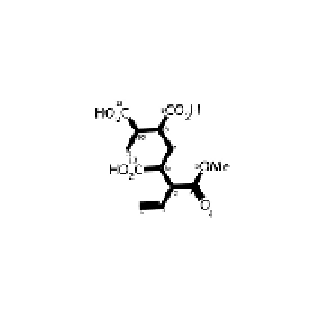 C=CC(C(=O)OC)C(CC(C(=O)O)C(C)C(=O)O)C(=O)O